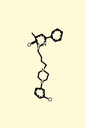 Cc1cc(-c2ccccc2)nn(CCCCN2CCN(c3cccc(Cl)c3)CC2)c1=O